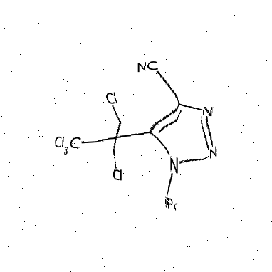 CC(C)n1nnc(C#N)c1C(Cl)(Cl)C(Cl)(Cl)Cl